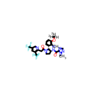 [2H]C([2H])([2H])Oc1cccc([C@@H]2[C@H](NC(=O)c3ncnn3C)CCN2C(=O)Cc2ncc(C(F)(F)F)cc2C(F)(F)F)c1C